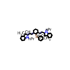 CCCN1/C(=C\C=C2/CCCC(/C=C/C3N(CCC)c4ccccc4C3(C)C)=C2Sc2ccccc2)C(C)(C)c2ccccc21